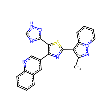 Cc1nn2ccccc2c1-c1nc(-c2cnc3ccccc3c2)c(-c2nc[nH]n2)s1